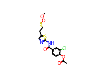 COOSCCc1cnc(NC(=O)c2ccc(OC(C)=O)c(Cl)c2)s1